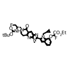 CCOC(=O)C(F)Oc1cccc2cc(-c3nc4cc5c(nc4n3C)CCN(C[C@@H](CF)NC(=O)OC(C)(C)C)C5=O)n(CC3CC3)c12